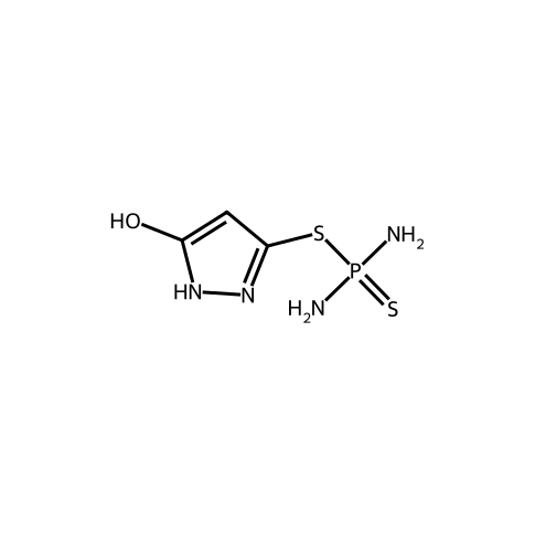 NP(N)(=S)Sc1cc(O)[nH]n1